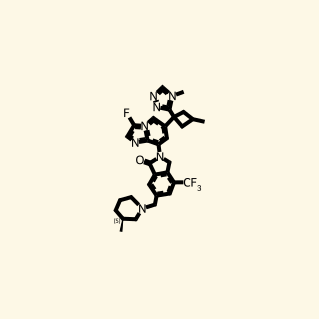 CC1CC(c2cc(N3Cc4c(cc(CN5CCC[C@H](C)C5)cc4C(F)(F)F)C3=O)c3ncc(F)n3c2)(c2nncn2C)C1